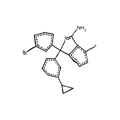 NC1=NC(c2cccc(Br)c2)(c2cccc(C3CC3)c2)c2cccc(F)c21